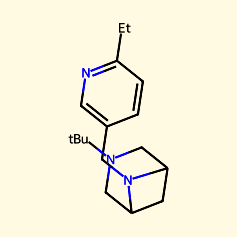 CCc1ccc(CN2C3CC2CN(C(C)(C)C)C3)cn1